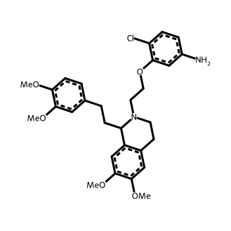 COc1ccc(CCC2c3cc(OC)c(OC)cc3CCN2CCOc2cc(N)ccc2Cl)cc1OC